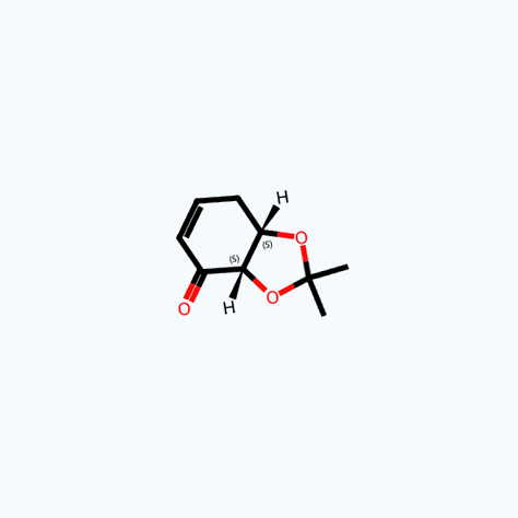 CC1(C)O[C@H]2CC=CC(=O)[C@H]2O1